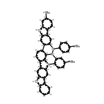 CC(C)(C)c1ccc(N2B3c4cc(C(C)(C)C)ccc4-n4c5cc6c(cc5c5ccc(c3c54)-c3cc4oc5cc(C(C)(C)C)ccc5c4cc32)oc2ccccc26)cc1